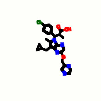 Cc1c(CC2CC2)c2nc(OCc3cnccn3)cnc2n1C(c1ccc(Cl)cc1)C(C)C(=O)O